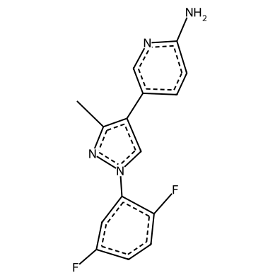 Cc1nn(-c2cc(F)ccc2F)cc1-c1ccc(N)nc1